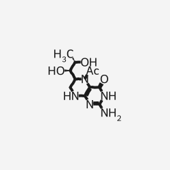 CC(=O)N1c2c(nc(N)[nH]c2=O)NCC1[C@@H](O)[C@H](C)O